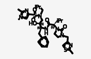 Cc1nc(CN2CCN([C@H](C(=O)N[C@@H](Cc3ccccc3)[C@@H](O)CN(CC(C)C)S(=O)(=O)c3cn(C)c(C)n3)C(C)C)C2=O)cs1